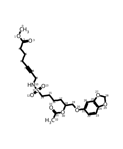 COC(=O)CCCC#CCNS(=O)(=O)CCCCC(COc1ccc2c(c1)OCO2)OC(C)=O